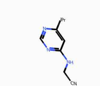 CC(C)c1cc(NCC#N)ncn1